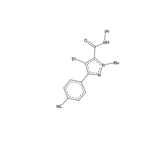 CCc1c(-c2ccc(C#N)cc2)nn(C(C)CC)c1C(=O)NC(C)C